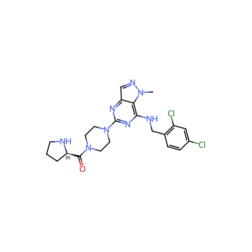 Cn1ncc2nc(N3CCN(C(=O)[C@H]4CCCN4)CC3)nc(NCc3ccc(Cl)cc3Cl)c21